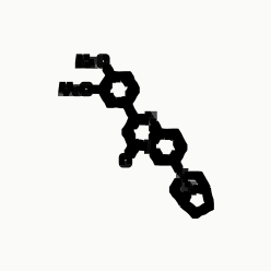 COc1ccc(-c2cc(=O)n3cc(N4CC5CCC(C4)N5)ccc3n2)cc1OC